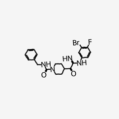 N=C(Nc1ccc(F)c(Br)c1)C(=O)C1CCN(C(=O)NCc2ccccc2)CC1